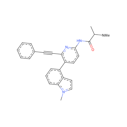 CNC(C)C(=O)Nc1ccc(-c2cccc3c2ccn3C)c(C#Cc2ccccc2)n1